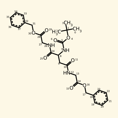 CC(C)(C)OC(=O)NC(CC(=O)NCC(=O)OCc1ccccc1)C(=O)NCC(=O)OCc1ccccc1